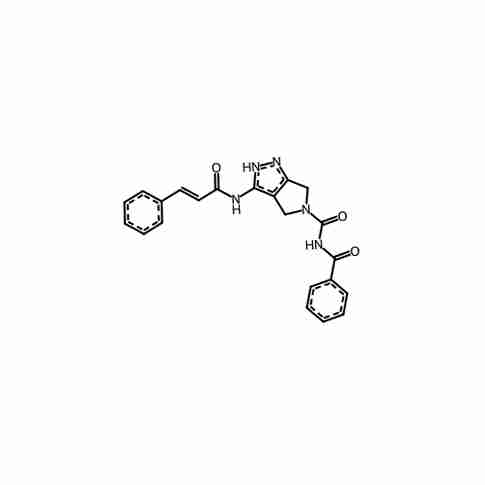 O=C(C=Cc1ccccc1)Nc1[nH]nc2c1CN(C(=O)NC(=O)c1ccccc1)C2